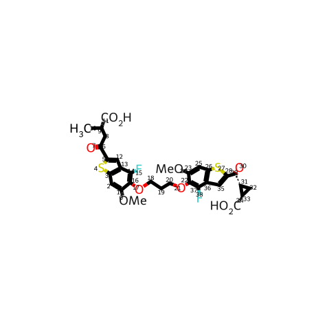 COc1cc2sc(C(=O)CC(C)C(=O)O)cc2c(F)c1OCCCOc1c(OC)cc2sc(C(=O)[C@@H]3C[C@H]3C(=O)O)cc2c1F